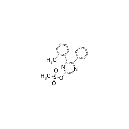 Cc1ccccc1-c1nc(OS(C)(=O)=O)cnc1-c1ccccc1